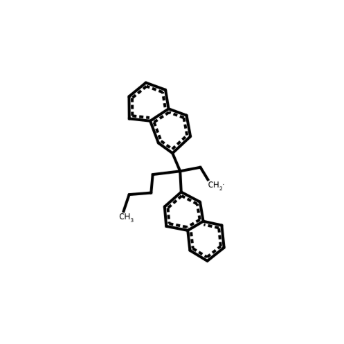 [CH2]CC(CCCC)(c1ccc2ccccc2c1)c1ccc2ccccc2c1